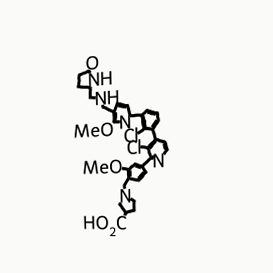 COc1cc(-c2nccc(-c3cccc(-c4ccc(CNCC5CCC(=O)N5)c(OC)n4)c3Cl)c2Cl)ccc1CN1CCC(C(=O)O)C1